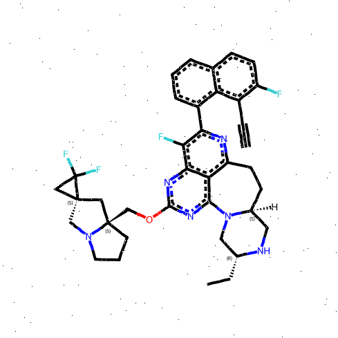 C#Cc1c(F)ccc2cccc(-c3nc4c5c(nc(OC[C@@]67CCCN6C[C@@]6(CC6(F)F)C7)nc5c3F)N3C[C@@H](CC)NC[C@@H]3CC4)c12